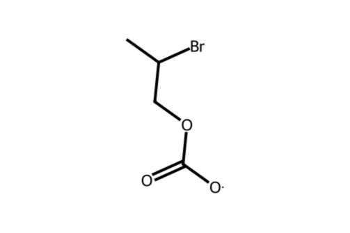 CC(Br)COC([O])=O